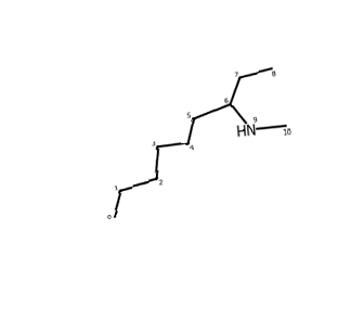 CCCCCCC(CC)NC